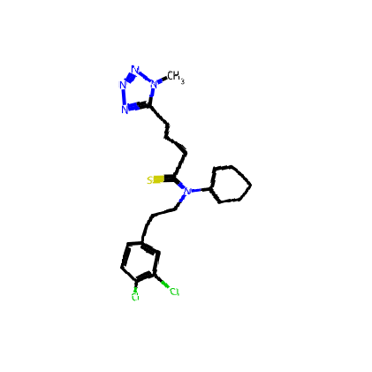 Cn1nnnc1CCCC(=S)N(CCc1ccc(Cl)c(Cl)c1)C1CCCCC1